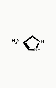 C1=CNNC1.S